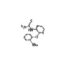 CC(C)(C)c1ccccc1Oc1ncccc1NC(N)=S